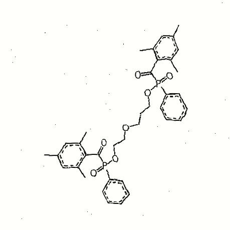 Cc1cc(C)c(C(=O)P(=O)(OCCCOCCOP(=O)(C(=O)c2c(C)cc(C)cc2C)c2ccccc2)c2ccccc2)c(C)c1